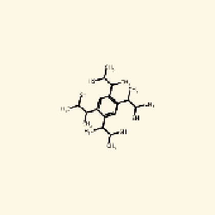 CC(S)C(C)c1cc(C(C)C(C)S)c(C(C)C(C)S)cc1C(C)C(C)S